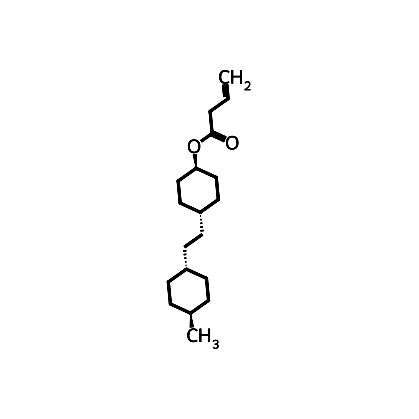 C=CCC(=O)O[C@H]1CC[C@H](CC[C@H]2CC[C@H](C)CC2)CC1